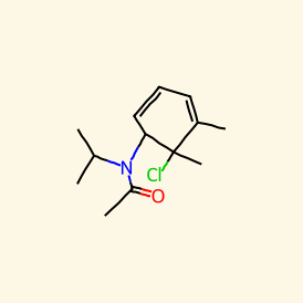 CC(=O)N(C(C)C)C1C=CC=C(C)C1(C)Cl